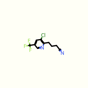 N#CCCCc1ncc(C(F)(F)F)cc1Cl